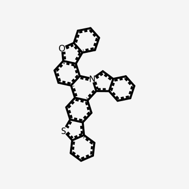 c1ccc2c(c1)cn1c2c2cc3c(cc2c2ccc4oc5ccccc5c4c21)sc1ccccc13